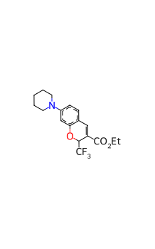 CCOC(=O)C1=Cc2ccc(N3CCCCC3)cc2OC1C(F)(F)F